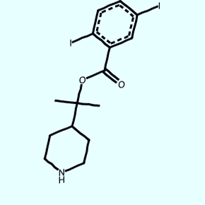 CC(C)(OC(=O)c1cc(I)ccc1I)C1CCNCC1